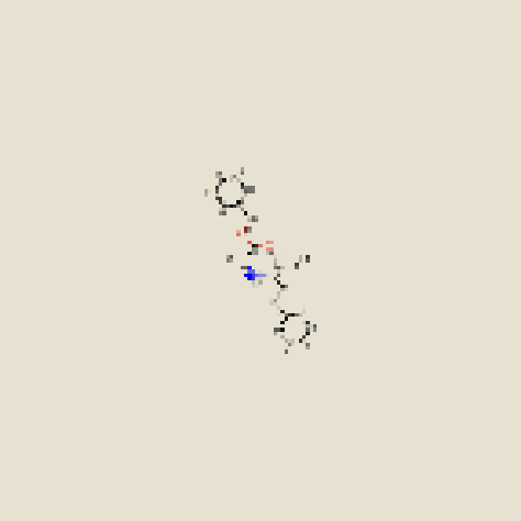 CCOC(=O)[C@H](CCc1ccccc1)N[C@H](C)C(=O)OCc1ccccc1